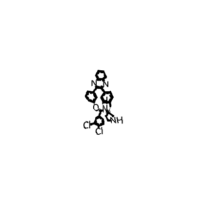 O=C(N[C@]1(Cc2ccc(-c3nc4ccccc4nc3-c3ccccc3)cc2)CCNC1)c1ccc(Cl)c(Cl)c1